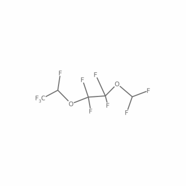 FC(F)OC(F)(F)C(F)(F)OC(F)C(F)(F)F